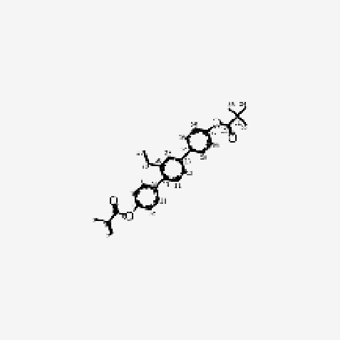 C=C(C)C(=O)Oc1ccc(-c2ccc(-c3ccc(OC(=O)C(C)(C)C)cc3)cc2CC)cc1